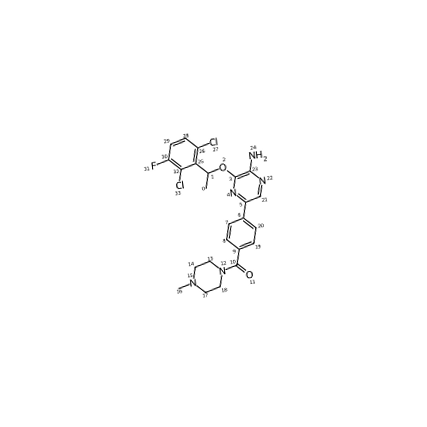 CC(Oc1nc(-c2ccc(C(=O)N3CCN(C)CC3)cc2)cnc1N)c1c(Cl)ccc(F)c1Cl